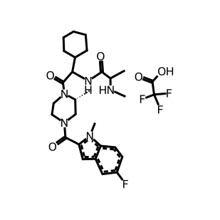 CNC(C)C(=O)NC(C(=O)N1CCN(C(=O)c2cc3cc(F)ccc3n2C)C[C@H]1C)C1CCCCC1.O=C(O)C(F)(F)F